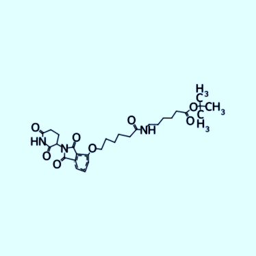 CC(C)(C)OC(=O)CCCCCNC(=O)CCCCCOc1cccc2c1C(=O)N(C1CCC(=O)NC1=O)C2=O